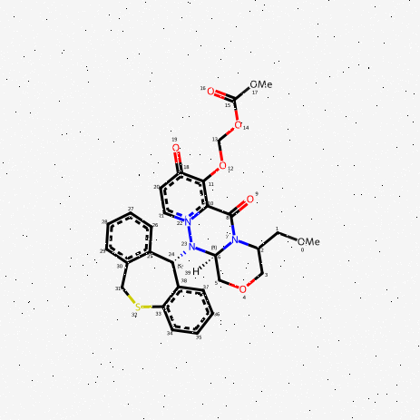 COCC1COC[C@@H]2N1C(=O)c1c(OCOC(=O)OC)c(=O)ccn1N2[C@H]1c2ccccc2CSc2ccccc21